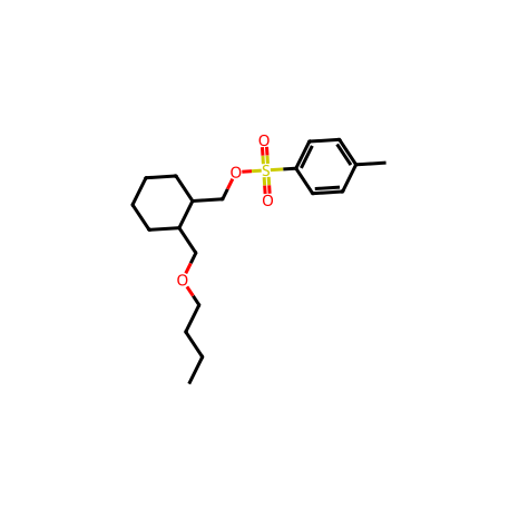 CCCCOCC1CCCCC1COS(=O)(=O)c1ccc(C)cc1